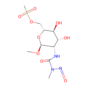 CO[C@H]1O[C@H](COS(C)(=O)=O)[C@@H](O)[C@H](O)[C@@H]1NC(=O)N(C)N=O